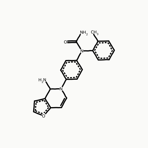 Cc1ccccc1N(C(N)=O)c1ccc(N2C=Cc3occc3C2N)cc1